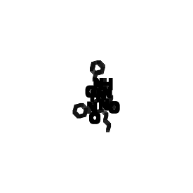 CCCC[C@H]1C(=O)N(C2CCCCC2)C[C@H]2N1C(=O)CN(C)N2C(=O)NCc1ccccc1